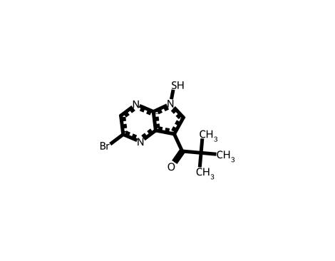 CC(C)(C)C(=O)c1cn(S)c2ncc(Br)nc12